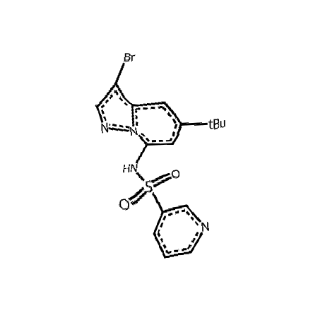 CC(C)(C)c1cc(NS(=O)(=O)c2cccnc2)n2ncc(Br)c2c1